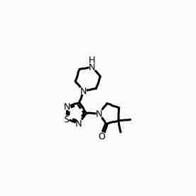 CC1(C)CCN(c2nsnc2N2CCNCC2)C1=O